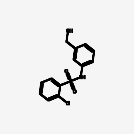 O=S(=O)(Nc1cccc(CO)c1)c1ccccc1Cl